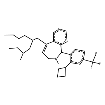 CCCCC(CC1=CCN(C)C(c2ccc(C(F)(F)F)cc2C2CCC2)c2ccncc21)CC(C)CC